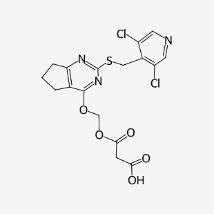 O=C(O)CC(=O)OCOc1nc(SCc2c(Cl)cncc2Cl)nc2c1CCC2